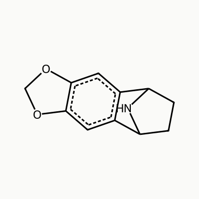 c1c2c(cc3c1C1CCC3N1)OCO2